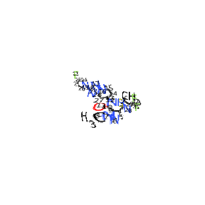 Cc1sc(-c2cnn(C)c2C(=O)Nc2ccn3nc(N4CCC(F)C4)nc3c2)nc1C(F)F